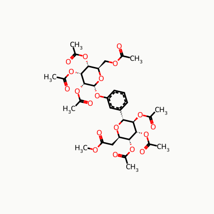 COC(=O)C[C@H]1O[C@H](c2cccc(O[C@H]3O[C@H](COC(C)=O)[C@@H](OC(C)=O)[C@@H](OC(C)=O)[C@H]3OC(C)=O)c2)[C@@H](OC(C)=O)[C@H](OC(C)=O)[C@@H]1OC(C)=O